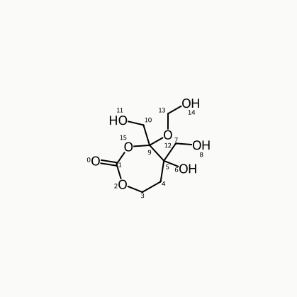 O=C1OCCC(O)(CO)C(CO)(OCO)O1